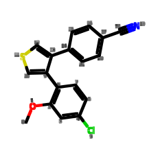 COc1cc(Cl)ccc1-c1cscc1-c1ccc(C#N)cc1